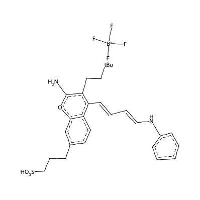 CC(C)(C)CCc1c(N)[o+]c2cc(CCCS(=O)(=O)O)ccc2c1C=CC=CNc1ccccc1.F[B-](F)(F)F